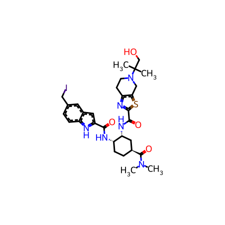 CN(C)C(=O)[C@H]1CC[C@H](NC(=O)c2cc3cc(CI)ccc3[nH]2)[C@H](NC(=O)c2nc3c(s2)CN(C(C)(C)CO)CC3)C1